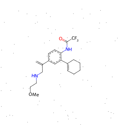 C=C(CNCCOC)c1ccc(NC(=O)C(F)(F)F)c(C2=CCCCC2)c1